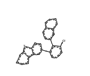 Clc1cccc(-c2ccc3sc4ccccc4c3c2)c1-c1ccc2ccccc2c1